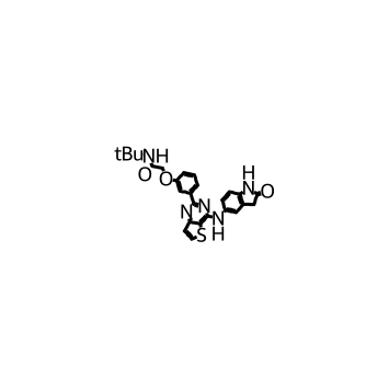 CC(C)(C)NC(=O)COc1cccc(-c2nc(Nc3ccc4c(c3)CC(=O)N4)c3sccc3n2)c1